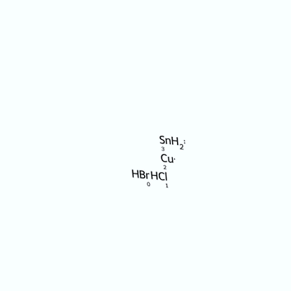 Br.Cl.[Cu].[SnH2]